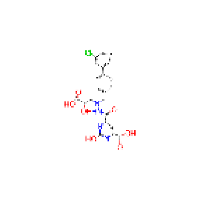 O=C(O)c1cc(C(=O)NN(Cc2ccc(-c3cccc(Cl)c3)cc2)CC(O)C(=O)O)nc(O)n1